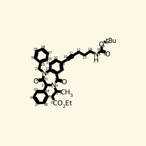 CCOC(=O)CC(C)N1C(=O)c2cc(C#CCCCNC(=O)OC(C)(C)C)ccc2N(Cc2ccccc2)C(=O)C1c1ccccc1